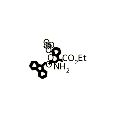 CCOC(=O)CC(c1cccc(OS(C)(=O)=O)c1)C(N)C(=O)OCC1c2ccccc2-c2ccccc21